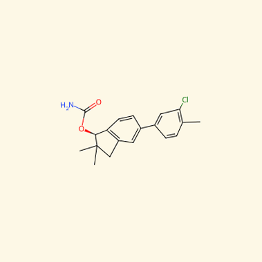 Cc1ccc(-c2ccc3c(c2)CC(C)(C)[C@H]3OC(N)=O)cc1Cl